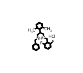 Cc1cccc(C)c1C(CNCc1ccccc1)COCc1c(F)cccc1F.Cl